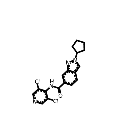 O=C(Nc1c(Cl)cncc1Cl)c1ccc2cn(C3CCCC3)nc2c1